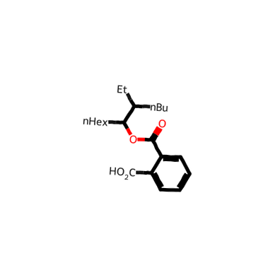 CCCCCCC(OC(=O)c1ccccc1C(=O)O)C(CC)CCCC